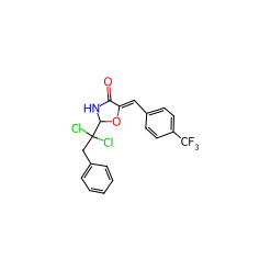 O=C1NC(C(Cl)(Cl)Cc2ccccc2)OC1=Cc1ccc(C(F)(F)F)cc1